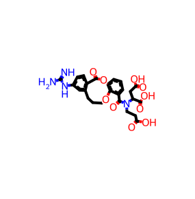 N=C(N)Nc1ccc2c(c1)CCCOc1c(cccc1C(=O)N(CCC(=O)O)C(CC(=O)O)C(=O)O)OC2=O